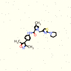 Cc1cc(C(=O)Nc2ccc(-c3c(C)noc3C)cc2)n(Cc2csc(N3CCCCC3)n2)c1